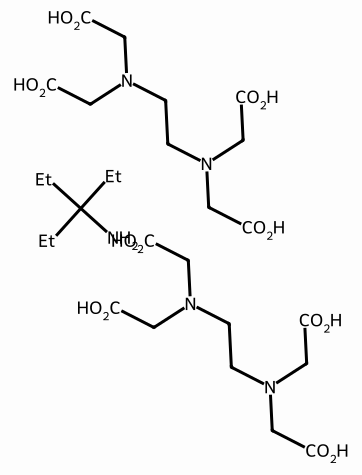 CCC(N)(CC)CC.O=C(O)CN(CCN(CC(=O)O)CC(=O)O)CC(=O)O.O=C(O)CN(CCN(CC(=O)O)CC(=O)O)CC(=O)O